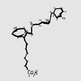 O=C(O)CCCCCCC1C2CCC(O2)C1CSCC=CCC1CCCCC1